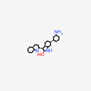 Nc1cccc(-c2ccc3c(-c4ccc5ccccc5n4)c(O)[nH]c3c2)c1